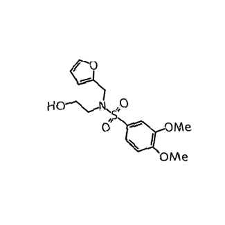 COc1ccc(S(=O)(=O)N(CCO)Cc2ccco2)cc1OC